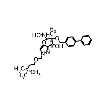 C[C@@](OCc1ccc(-c2ccccc2)cc1)(C(=O)NO)[C@@H](O)c1ccn(COCC[Si](C)(C)C)n1